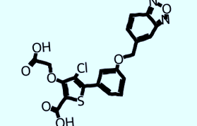 O=C(O)COc1c(C(=O)O)sc(-c2cccc(OCc3ccc4nonc4c3)c2)c1Cl